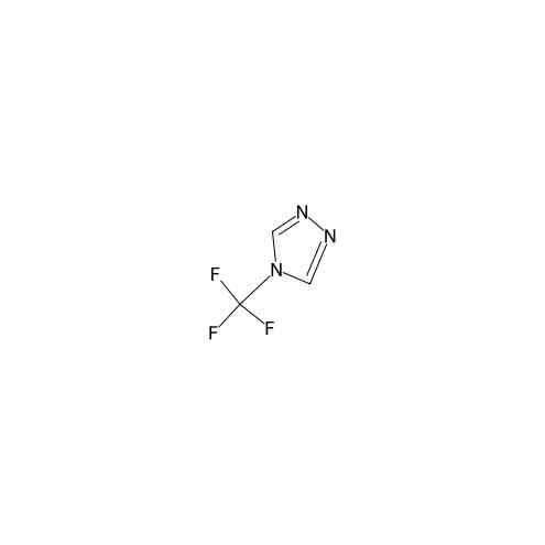 FC(F)(F)n1cnnc1